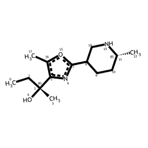 CC[C@@](C)(O)c1nc(C2CC[C@@H](C)NC2)oc1C